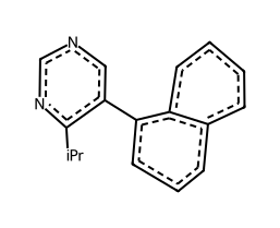 CC(C)c1ncncc1-c1cccc2ccccc12